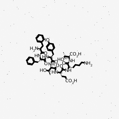 C[C@@H](O)[C@H](NC(=O)[C@H](CCCCN)NC(=O)[C@H](CCC(=O)O)NC(=O)[C@@H](NC(=O)[C@H](Cc1ccc(O)cc1)NC(=O)[C@H](Cc1ccccc1)NC(=O)[C@@H](N)Cc1ccccc1)[C@@H](C)O)C(=O)O